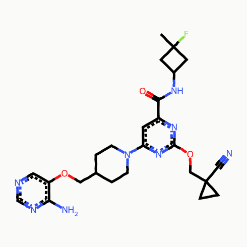 CC1(F)CC(NC(=O)c2cc(N3CCC(COc4cncnc4N)CC3)nc(OCC3(C#N)CC3)n2)C1